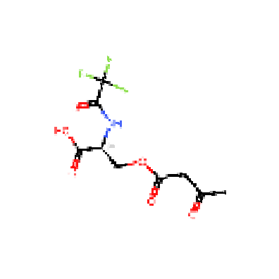 CC(=O)CC(=O)OC[C@H](NC(=O)C(F)(F)F)C(=O)O